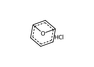 Cl.c1cc2cc(c1)O2